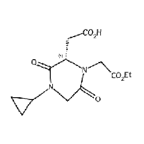 CCOC(=O)CN1C(=O)CN(C2CC2)C(=O)[C@@H]1CC(=O)O